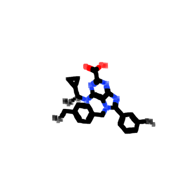 CCc1ccc(Cn2c(-c3cccc(C)c3)nc3nc(C(=O)O)nc(N[C@H](C)C4CC4)c32)cc1